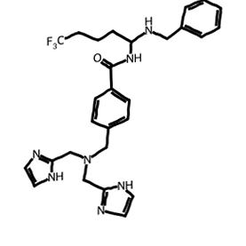 O=C(NC(CCCC(F)(F)F)NCc1ccccc1)c1ccc(CN(Cc2ncc[nH]2)Cc2ncc[nH]2)cc1